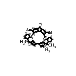 CC1(C)c2ccccc2N2Cc3cc4c(cc3C#N)C(=O)c3cc(C#N)c(cc3-4)CN3c4ccccc4C(C)(C)c4ccc(cc43)-c3ccc1c2c3